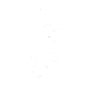 CC1(c2cccc(NC(=O)c3ccc(Br)cn3)c2)COC(C)(C(F)(F)F)C(N)=N1